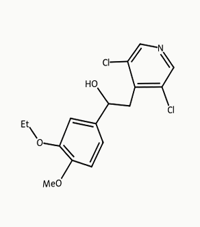 CCOc1cc(C(O)Cc2c(Cl)cncc2Cl)ccc1OC